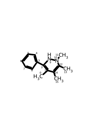 CC1=C(c2ccccc2)NN(C)C(C)=C1C